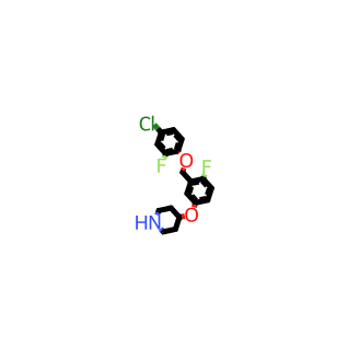 Fc1ccc(OC2CCNCC2)cc1COc1ccc(Cl)cc1F